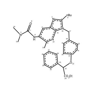 CCCCc1nc2cc(NC(=O)N(C)C)c(C)nc2n1Cc1ccc(OC(C(=O)OCC)c2ccccc2)cc1